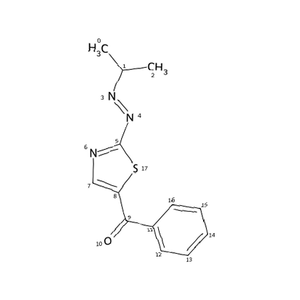 CC(C)/N=N/c1ncc(C(=O)c2ccccc2)s1